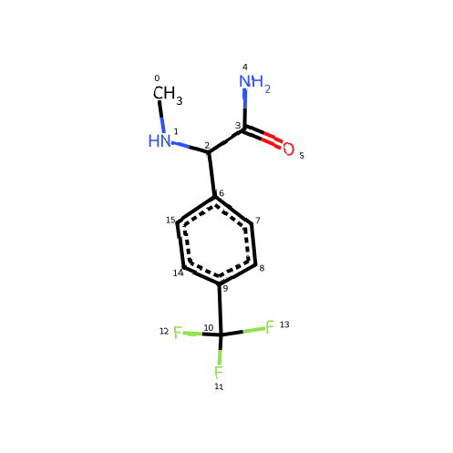 CNC(C(N)=O)c1ccc(C(F)(F)F)cc1